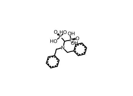 O=P(O)(O)C(N(Cc1ccccc1)Cc1ccccc1)P(=O)(O)O